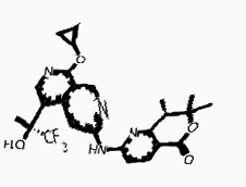 C[C@@H]1c2nc(Nc3cc4c([C@](C)(O)C(F)(F)F)cnc(OC5CC5)c4cn3)ccc2C(=O)OC1(C)C